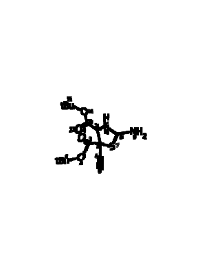 C#CC1(C(=O)OC(C)(C)C)SC(N)NC1C(=O)OC(C)(C)C